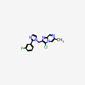 Cc1cn2c(Cl)c(Cn3ccnc3-c3cccc(F)c3)nc2cn1